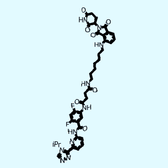 CC(C)n1cnnc1-c1cccc(NC(=O)c2cc(NC(=O)CCC(=O)NCCCCCCCNc3cccc4c3C(=O)N(C3CCC(=O)NC3=O)C4=O)c(F)cc2F)n1